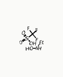 CCNO.O=S(=O)(O)C(F)(F)F